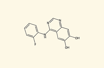 Oc1cc2ncnc(Nc3ccccc3F)c2cc1O